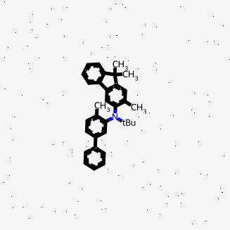 Cc1ccc(-c2ccccc2)cc1N(c1cc2c(cc1C)C(C)(C)c1ccccc1-2)C(C)(C)C